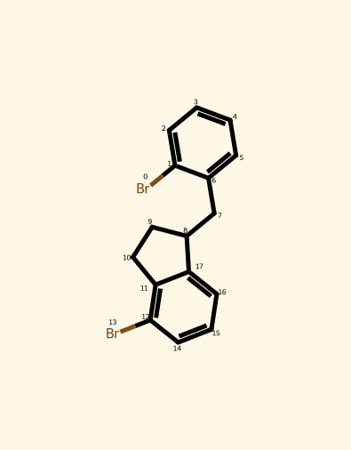 Brc1ccccc1CC1CCc2c(Br)cccc21